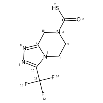 O=C(S)N1CCn2c(nnc2C(F)(F)F)C1